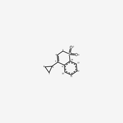 O=S1(=O)CC=C(C2CC2)c2ccccc21